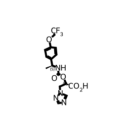 C[C@H](NC(=O)O[C@H](Cn1cncn1)C(=O)O)c1ccc(OCC(F)(F)F)cc1